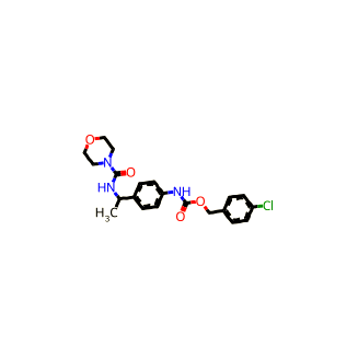 CC(NC(=O)N1CCOCC1)c1ccc(NC(=O)OCc2ccc(Cl)cc2)cc1